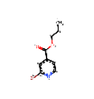 CCCOC(=O)c1ccnc(Br)c1